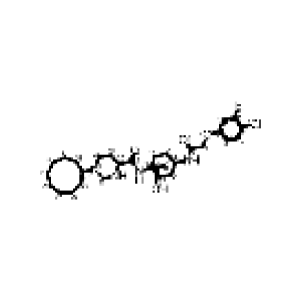 O=C(COc1ccc(Cl)c(F)c1)NC12CCC(NC(=O)C3CCN(C4CCCCCCCC4)CN3)(CC1)C(O)C2